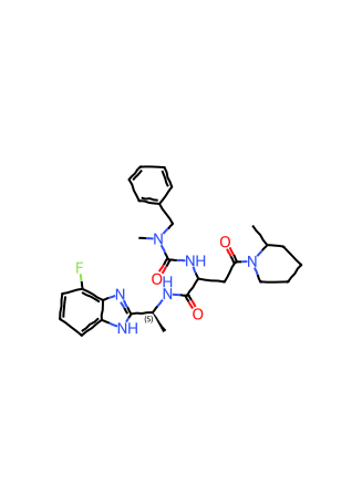 CC1CCCCN1C(=O)CC(NC(=O)N(C)Cc1ccccc1)C(=O)N[C@@H](C)c1nc2c(F)cccc2[nH]1